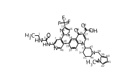 CCNC(=O)Nc1cc(-c2nc(C(F)(F)F)cs2)c(-c2ccc3c(c2)c(=O)c(C(=O)O)cn3C2CCCN(Cc3cccn3C)C2)cn1